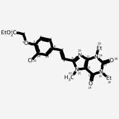 CCOC(=O)COc1ccc(/C=C/c2nc3c(c(=O)n(CC)c(=O)n3CC)n2C)cc1Cl